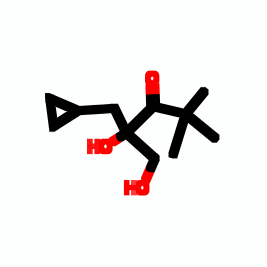 CC(C)(C)C(=O)C(O)(CO)CC1CC1